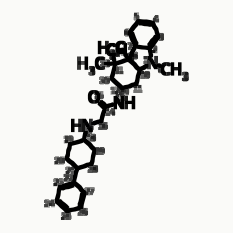 CN1c2ccccc2C2(C)C1C[C@H](NC(=O)CNC1CCC(c3ccccc3)CC1)CC2(C)C